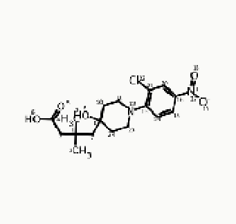 CC(C)(CC(=O)O)CC1(O)CCN(c2ccc([N+](=O)[O-])cc2Cl)CC1